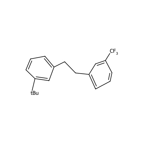 CC(C)(C)c1cccc(CCc2cccc(C(F)(F)F)c2)c1